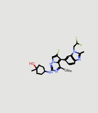 COc1nc(NC2CCC(C)(O)CC2)nn2cc(F)c(-c3ccc4nc(C)n(CC(F)F)c4c3)c12